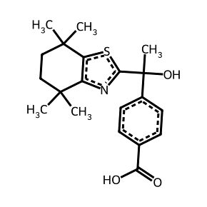 CC1(C)CCC(C)(C)c2sc(C(C)(O)c3ccc(C(=O)O)cc3)nc21